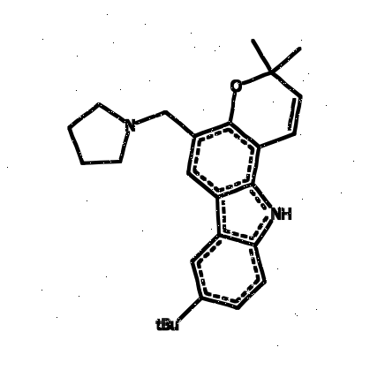 CC1(C)C=Cc2c(c(CN3CCCC3)cc3c2[nH]c2ccc(C(C)(C)C)cc23)O1